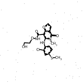 CSc1ccc(Nc2c(C(=O)NOCCO)c3occc3c(=O)n2C)c(Cl)c1